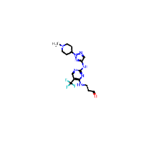 CN1CCC(n2ncc(Nc3ncc(C(F)(F)F)c(NCCC=O)n3)n2)CC1